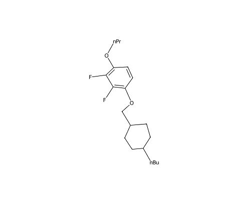 CCCCC1CCC(COc2ccc(OCCC)c(F)c2F)CC1